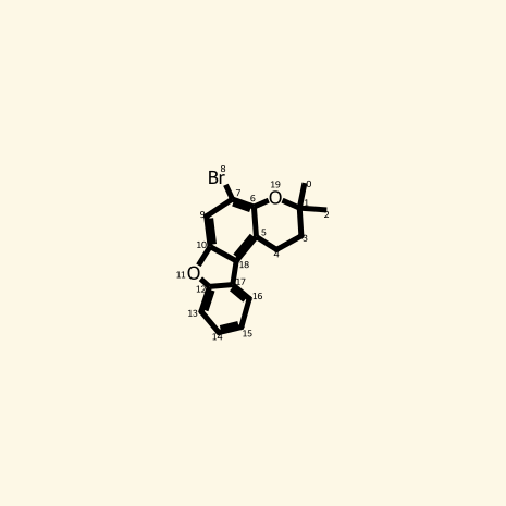 CC1(C)CCc2c(c(Br)cc3oc4ccccc4c23)O1